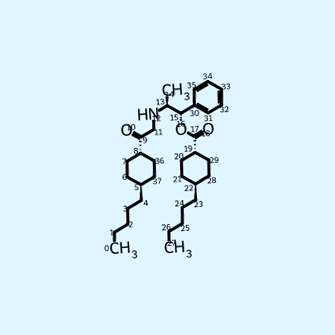 CCCCC[C@H]1CC[C@H](C(=O)CN[C@@H](C)[C@@H](OC(=O)[C@H]2CC[C@H](CCCCC)CC2)c2ccccc2)CC1